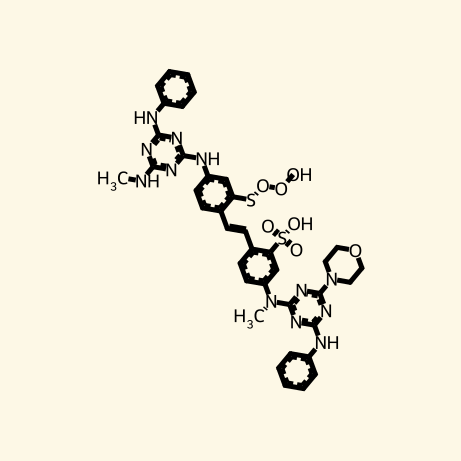 CNc1nc(Nc2ccccc2)nc(Nc2ccc(/C=C/c3ccc(N(C)c4nc(Nc5ccccc5)nc(N5CCOCC5)n4)cc3S(=O)(=O)O)c(SOOO)c2)n1